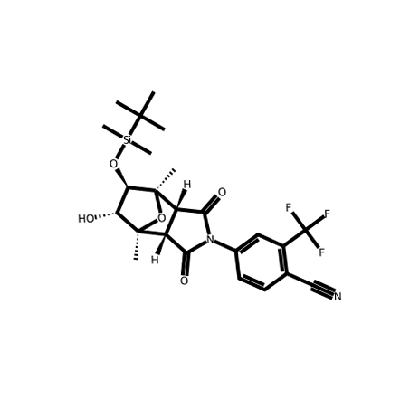 CC(C)(C)[Si](C)(C)O[C@@H]1[C@@H](O)[C@@]2(C)O[C@]1(C)[C@@H]1C(=O)N(c3ccc(C#N)c(C(F)(F)F)c3)C(=O)[C@@H]12